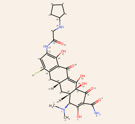 CN(C)[C@@H]1C(O)=C(C(N)=O)C(=O)[C@@]2(O)C(O)=C3C(=O)c4c(O)c(NC(=O)CNC5CCCC5)cc(F)c4C[C@H]3C[C@@H]12